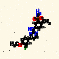 COc1ccc(-c2ccnc(Nc3ccc(C)c(S(N)(=O)=O)c3)n2)cc1F